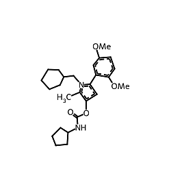 COc1ccc(OC)c(-c2cc(OC(=O)NC3CCCC3)c(C)n2CC2CCCCC2)c1